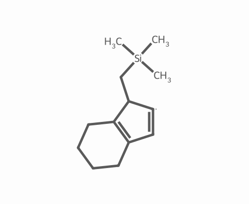 C[Si](C)(C)CC1[C]=CC2=C1CCCC2